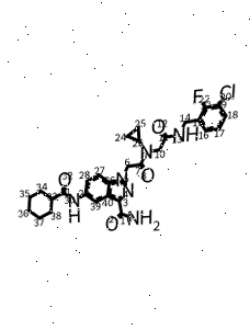 NC(=O)c1nn(CC(=O)N(CC(=O)NCc2cccc(Cl)c2F)C2CC2)c2ccc(NC(=O)C3CCCCC3)cc12